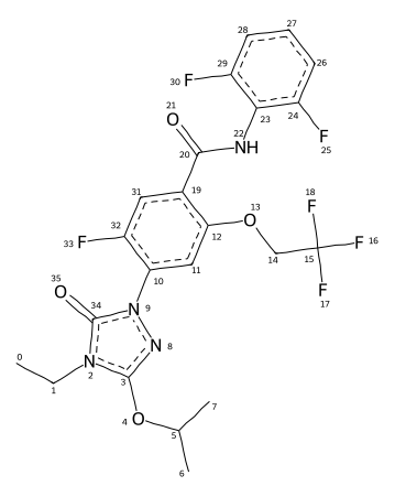 CCn1c(OC(C)C)nn(-c2cc(OCC(F)(F)F)c(C(=O)Nc3c(F)cccc3F)cc2F)c1=O